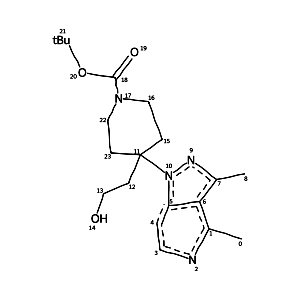 Cc1nccc2c1c(C)nn2C1(CCO)CCN(C(=O)OC(C)(C)C)CC1